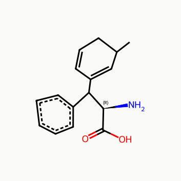 CC1C=C(C(c2ccccc2)[C@@H](N)C(=O)O)C=CC1